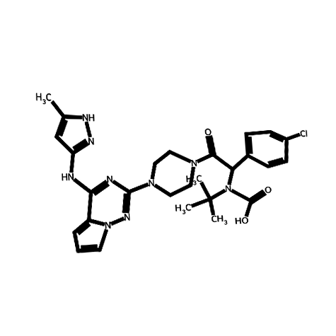 Cc1cc(Nc2nc(N3CCN(C(=O)C(c4ccc(Cl)cc4)N(C(=O)O)C(C)(C)C)CC3)nn3cccc23)n[nH]1